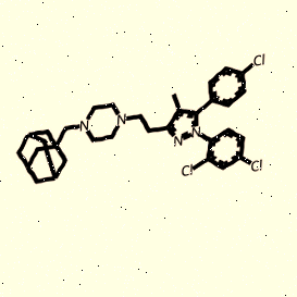 Cc1c(CCN2CCN(CC34CC5CC(CC(C5)C3)C4)CC2)nn(-c2ccc(Cl)cc2Cl)c1-c1ccc(Cl)cc1